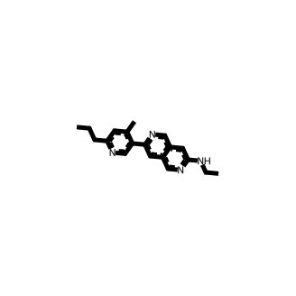 CCCc1cc(C)c(-c2cc3cnc(NCC)cc3cn2)cn1